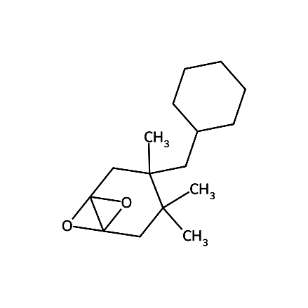 CC1(C)CC23OC2(CC1(C)CC1CCCCC1)O3